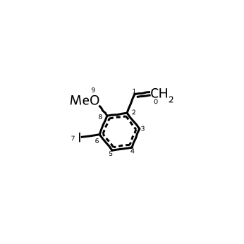 C=Cc1cccc(I)c1OC